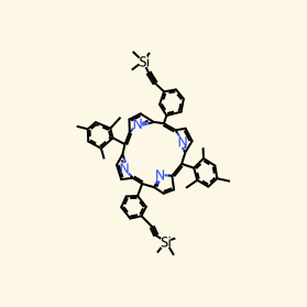 Cc1cc(C)c(C2=C3C=CC(=N3)C(c3cccc(C#C[Si](C)(C)C)c3)=C3C=CC(=N3)C(c3c(C)cc(C)cc3C)=C3C=CC(=N3)C(c3cccc(C#C[Si](C)(C)C)c3)=C3C=CC2=N3)c(C)c1